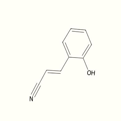 N#C/C=C/c1ccccc1O